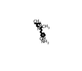 CCc1ccn2c(C)c(CCc3ccc4nc(N)oc4c3)nc2c1